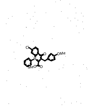 COC(=O)c1c(Cc2ccc(OC)cc2)c(=O)c2ccc(Cl)cc2n1-c1ccccc1